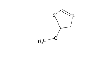 COC1CN=CS1